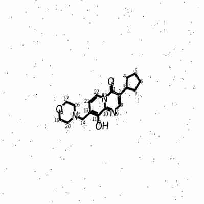 O=c1c(C2CCCC2)cnc2c(O)c(CN3CCOCC3)ccn12